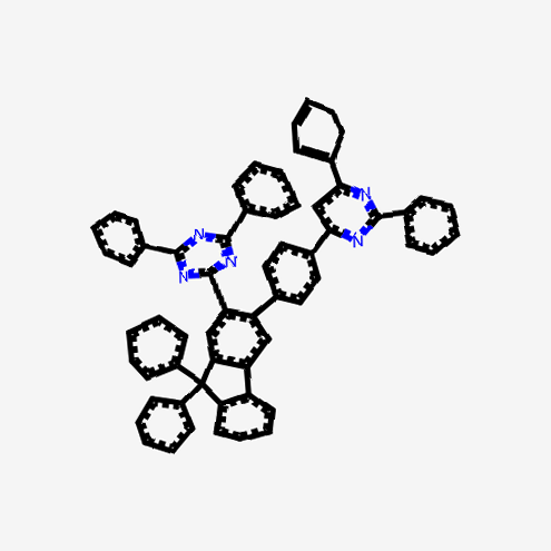 C1=CCCC(c2cc(-c3ccc(-c4cc5c(cc4-c4nc(-c6ccccc6)nc(-c6ccccc6)n4)C(c4ccccc4)(c4ccccc4)c4ccccc4-5)cc3)nc(-c3ccccc3)n2)=C1